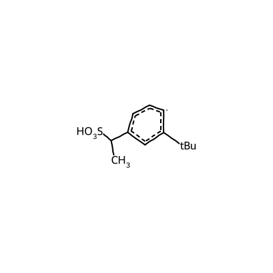 CC(c1cc[c]c(C(C)(C)C)c1)S(=O)(=O)O